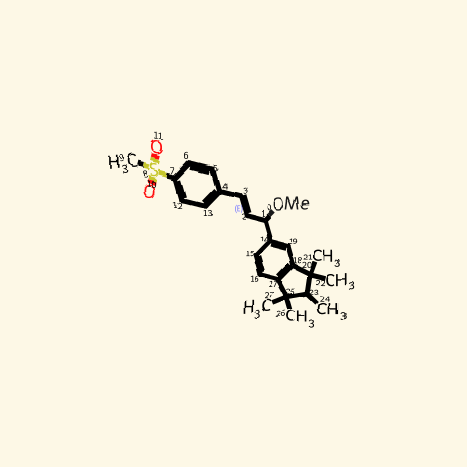 COC(/C=C/c1ccc(S(C)(=O)=O)cc1)c1ccc2c(c1)C(C)(C)C(C)C2(C)C